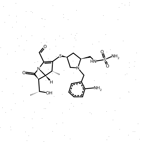 C[C@@H](O)[C@H]1C(=O)N2C(C=O)=C(S[C@H]3C[C@@H](CNS(N)(=O)=O)N(Cc4ccccc4N)C3)[C@H](C)[C@H]12